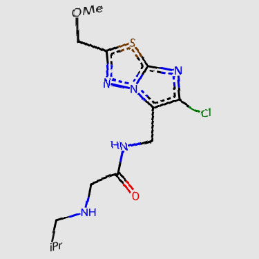 COCc1nn2c(CNC(=O)CNCC(C)C)c(Cl)nc2s1